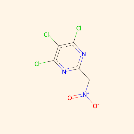 O=[N+]([O-])Cc1nc(Cl)c(Cl)c(Cl)n1